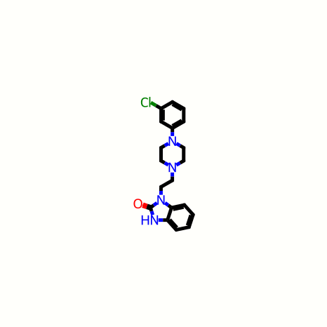 O=c1[nH]c2ccccc2n1CCN1CCN(c2cccc(Cl)c2)CC1